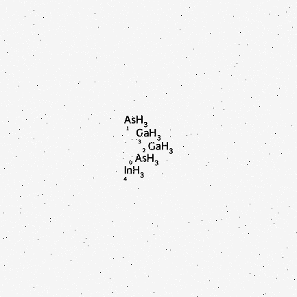 [AsH3].[AsH3].[GaH3].[GaH3].[InH3]